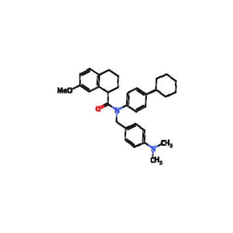 COc1ccc2c(c1)C(C(=O)N(Cc1ccc(N(C)C)cc1)c1ccc(C3CCCCC3)cc1)CCC2